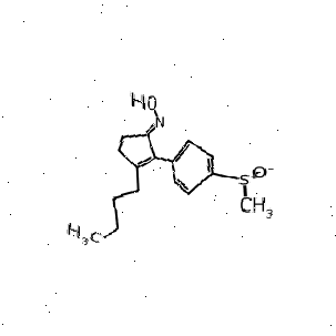 CCCCC1=C(c2ccc([S+](C)[O-])cc2)C(=NO)CC1